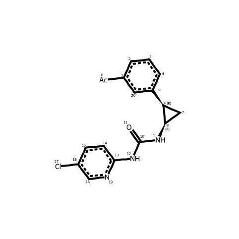 CC(=O)c1cccc([C@H]2C[C@H]2NC(=O)Nc2ccc(Cl)cn2)c1